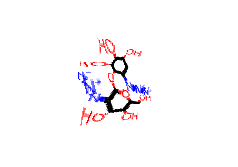 [N-]=[N+]=NC1[C@@H](O[C@@H]2C(N=[N+]=[N-])C[C@@H](O)C(O)[C@H]2O)OC(CO)[C@@H](O)[C@@H]1O